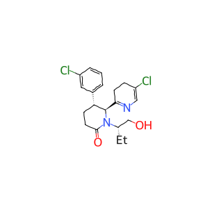 CC[C@@H](CO)N1C(=O)CC[C@H](c2cccc(Cl)c2)[C@H]1C1=NC=C(Cl)CC1